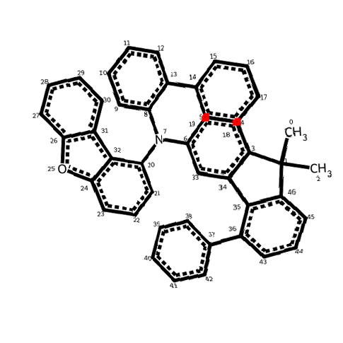 CC1(C)c2ccc(N(c3ccccc3-c3ccccc3)c3cccc4oc5ccccc5c34)cc2-c2c(-c3ccccc3)cccc21